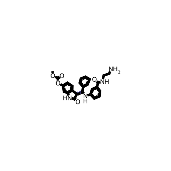 COC(=O)Oc1ccc2c(c1)NC(=O)/C2=C(\Nc1cccc(C(=O)NCCN)c1)c1ccccc1